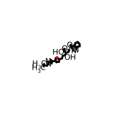 CC(C)Cn1cc(-c2ccc(CCC(O)C(CCn3nnc4ccccc4c3=O)C(=O)O)cc2)cn1